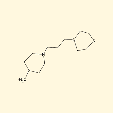 [CH2]C1CCN(CCCN2CCSCC2)CC1